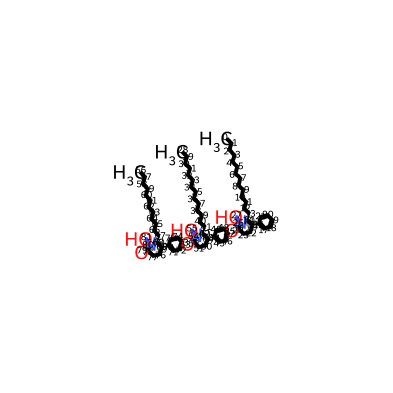 CCCCCCCCCCCCCC[C@H]1[C@@H](c2ccccc2)CCC(=O)N1O.CCCCCCCCCCCCCC[C@H]1[C@H](c2ccccc2)CCC(=O)N1O.CCCCCCCCCCCC[C@H]1[C@@H](c2ccccc2)CCC(=O)N1O